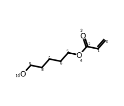 C=CC(=O)OCCCCC[O]